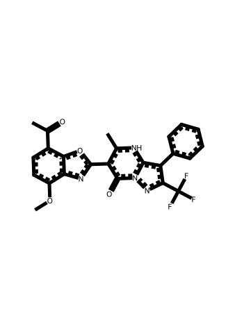 COc1ccc(C(C)=O)c2oc(-c3c(C)[nH]c4c(-c5ccccc5)c(C(F)(F)F)nn4c3=O)nc12